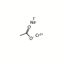 CC(=O)[O-].[Cr+2].[I-].[Na]